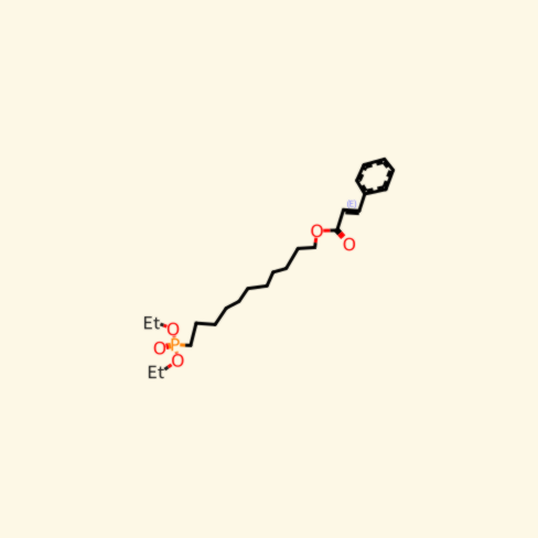 CCOP(=O)(CCCCCCCCCCCOC(=O)/C=C/c1ccccc1)OCC